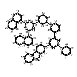 c1ccc(-c2nc(-c3cccc(-c4cccc(-c5nc(-c6cccc7ccccc67)nc(-c6cccc7ccccc67)n5)c4)c3)cc(-c3ccc4c(c3)oc3ccccc34)n2)cc1